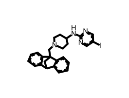 Ic1cnc(NC2CCN(CC34CC(c5ccccc53)c3ccccc34)CC2)nc1